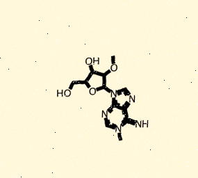 COC1C(O)C(CO)OC1n1cnc2c(=N)n(C)cnc21